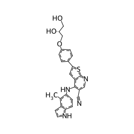 Cc1c(Nc2c(C#N)cnc3sc(-c4ccc(OC[C@H](O)CO)cc4)cc23)ccc2[nH]ccc12